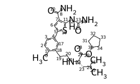 Cc1ccc(-c2cc(C(N)=O)c(NC(N)=O)s2)cc1CCN[C@@H](CC(C)C)C(=O)OC1CCCC1